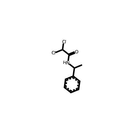 CC(NC(=O)C(Cl)Cl)c1ccccc1